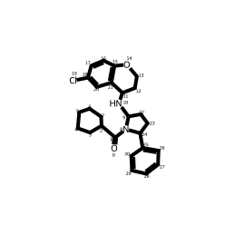 O=C(C1CCCCC1)N1C(NC2CCOc3ccc(Cl)cc32)CCC1c1ccccc1